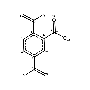 C=C(C)c1ccc(C(=C)C)c([N+](=O)[O-])c1